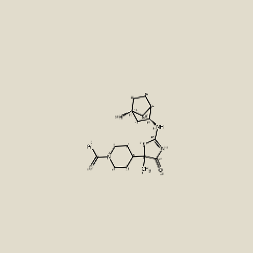 CC(C)C(=O)N1CCC(C2(C)SC(N[C@H]3C[C@@H]4CCC3C4)=NC2=O)CC1